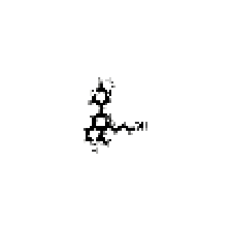 Nc1ncc(-c2cc3cc[nH]c(=O)c3c(CCCO)n2)cn1